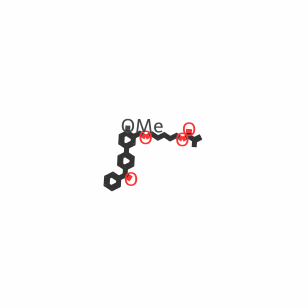 C=C(C)C(=O)OCCCCCOCc1cc(-c2ccc(C(=O)c3ccccc3)cc2)ccc1OC